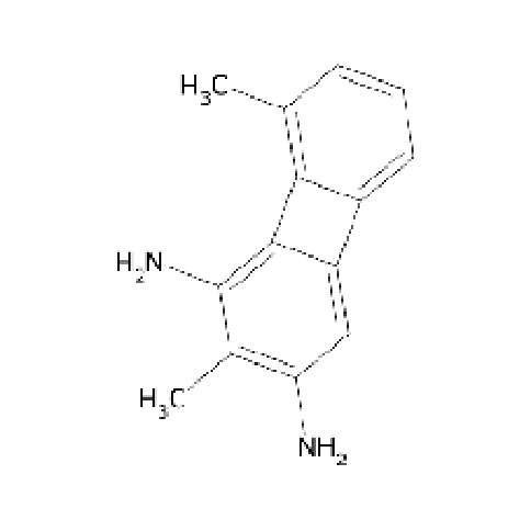 Cc1cccc2c1-c1c-2cc(N)c(C)c1N